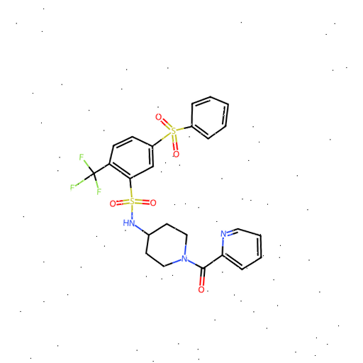 O=C(c1ccccn1)N1CCC(NS(=O)(=O)c2cc(S(=O)(=O)c3ccccc3)ccc2C(F)(F)F)CC1